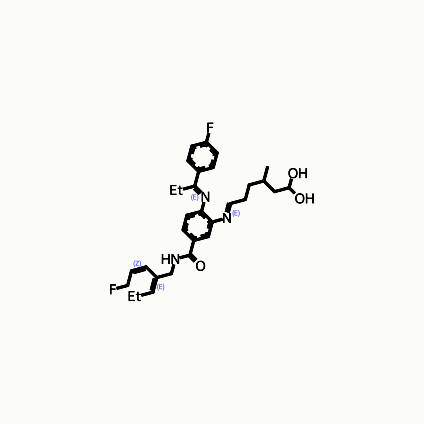 CC/C=C(\C=C/CF)CNC(=O)c1ccc(/N=C(\CC)c2ccc(F)cc2)c(/N=C/CCC(C)CC(O)O)c1